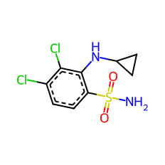 NS(=O)(=O)c1ccc(Cl)c(Cl)c1NC1CC1